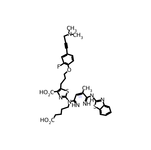 C/C(=C/C(=N)N(CCCCC(=O)O)c1nc(C(=O)O)c(CCCOc2ccc(C#CCN(C)C)cc2F)s1)C(=N)Nc1nc2ccccc2s1